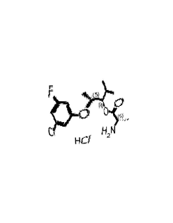 CC(C)[C@@H](OC(=O)[C@H](C)N)[C@H](C)Oc1cc(F)cc(Cl)c1.Cl